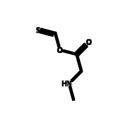 CNCC(=O)OC=S